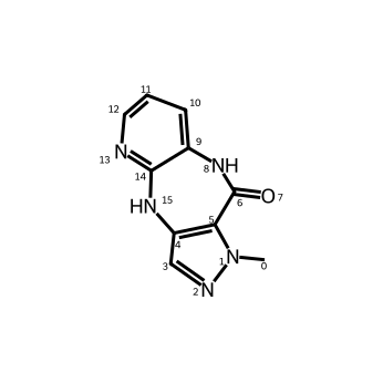 Cn1ncc2c1C(=O)Nc1cccnc1N2